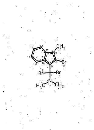 CN(C)C(Br)(Br)c1c(Br)n(C)c2ccccc12